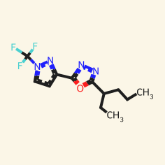 CCCC(CC)c1nnc(-c2ccn(C(F)(F)F)n2)o1